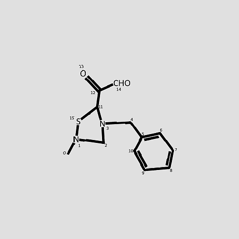 CN1CN(Cc2ccccc2)C(C(=O)C=O)S1